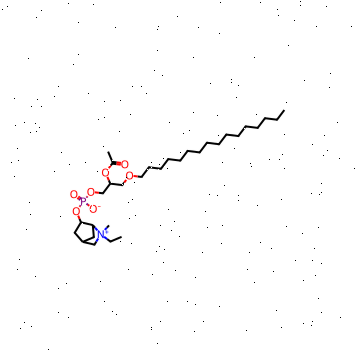 CCCCCCCCCCCCCCCCOCC(COP(=O)([O-])OC1CC2CC1[N+](C)(CC)C2)OC(C)=O